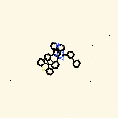 c1ccc(-c2cccc(-c3nc(-c4ccccc4)nc(-c4cccc5c4-c4c(-c6ccc7cccnc7c6)cccc4C54c5ccccc5Sc5ccccc54)n3)c2)cc1